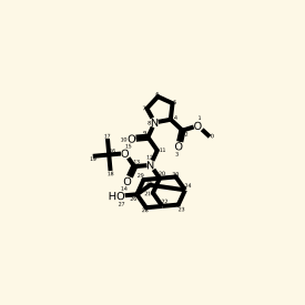 COC(=O)C1CCCN1C(=O)CN(C(=O)OC(C)(C)C)C12CC3CC(CC(O)(C3)C1)C2